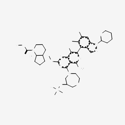 COc1nc(-c2c(C)c(Cl)cc3c2cnn3C2CCCCO2)c(F)c2nc(OC[C@]34CCC[C@H]3N(C(=O)OC(C)(C)C)CCC4)nc(N3CCOC[C@@](C)(O[Si](C)(C)C(C)(C)C)C3)c12